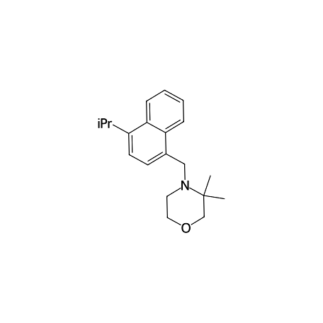 CC(C)c1ccc(CN2CCOCC2(C)C)c2ccccc12